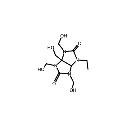 CCN1C(=O)N(CO)C2(CO)C1N(CO)C(=O)N2CO